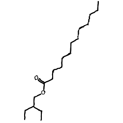 CCCCCCCCCCCCC(=O)OCC(CC)CC